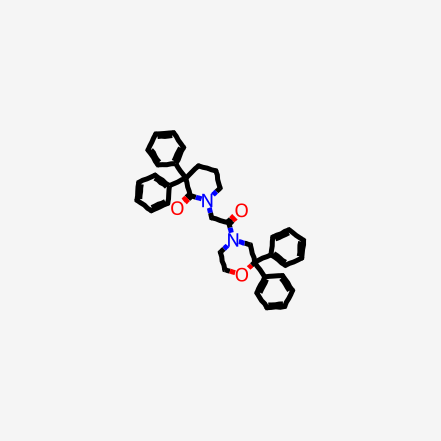 O=C(CN1CCCC(c2ccccc2)(c2ccccc2)C1=O)N1CCOC(c2ccccc2)(c2ccccc2)C1